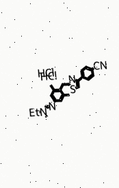 CCN(C)C=Nc1cc(C)c(Cc2nc(-c3ccc(C#N)cc3)cs2)c(C)c1.Cl.Cl